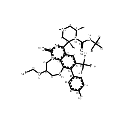 C[C@@H]1CNC[C@@](C)(c2nc(=O)n3c4c(c(-c5ccc(F)cc5)c(C(F)(F)F)cc24)SCC(OCF)C3)N1C(=O)OC(C)(C)C